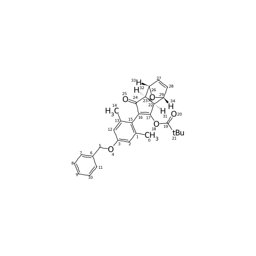 Cc1cc(OCc2ccccc2)cc(C)c1C1=C(OC(=O)C(C)(C)C)[C@H]2[C@@H](C1=O)[C@@H]1C=C[C@H]2O1